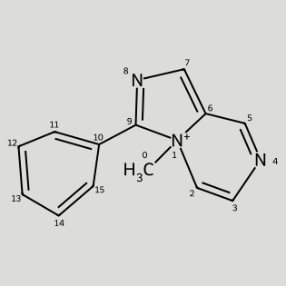 C[N+]12C=CN=CC1=CN=C2c1ccccc1